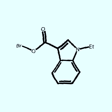 CCn1cc(C(=O)OBr)c2ccccc21